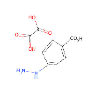 NNc1ccc(C(=O)O)cc1.O=C(O)C(=O)O